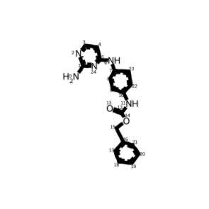 Nc1nccc(Nc2ccc(NC(=O)OCc3ccccc3)cc2)n1